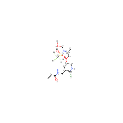 C=CC(=O)NCc1cc(OC[C@H](C)N(COC)S(=O)(=O)C(F)(F)F)cnc1Cl